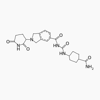 NC(=O)C1CCC(NC(=O)NC(=O)c2ccc3c(c2)CN(C2CCC(=O)NC2=O)C3)CC1